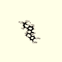 COc1cc2c(cc1OC)[C@@H]1C(=O)c3cc([18F])c4c(c3O[C@@H]1CO2)C([18F])=CC(C)(C)O4